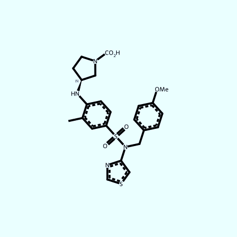 COc1ccc(CN(c2cscn2)S(=O)(=O)c2ccc(N[C@H]3CCN(C(=O)O)C3)c(C)c2)cc1